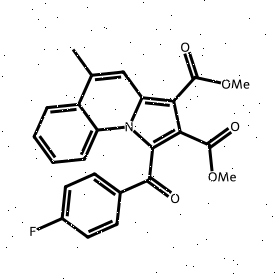 COC(=O)c1c(C(=O)OC)c2cc(C)c3ccccc3n2c1C(=O)c1ccc(F)cc1